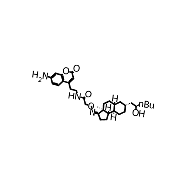 CCCC[C@@H](O)C[C@@H]1CC[C@@H]2[C@H](CC[C@]3(C)/C(=N\OCC(=O)NCCc4cc(=O)oc5cc(N)ccc45)CC[C@@H]23)C1